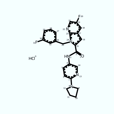 Cl.O=C(Nc1ccc(N2CCCC2)nc1)c1cc2cc(F)cnc2n1Cc1cccc(F)c1